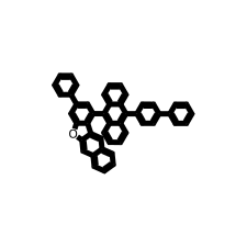 c1ccc(-c2ccc(-c3c4ccccc4c(-c4cc(-c5ccccc5)cc5oc6cc7ccccc7cc6c45)c4ccccc34)cc2)cc1